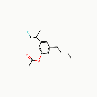 CCCCc1cc(OC(C)=O)cc([C](C)CF)c1